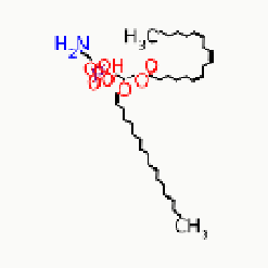 CCCCC/C=C\C/C=C\C/C=C\CCCCC(=O)OC[C@H](COP(=O)(O)OCCN)O/C=C\CCCCCCCCCCCCCCCC